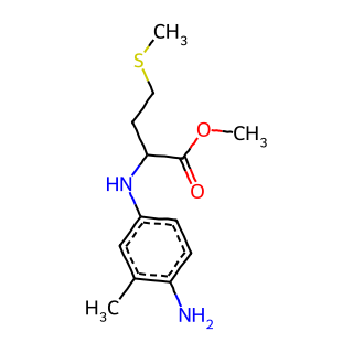 COC(=O)C(CCSC)Nc1ccc(N)c(C)c1